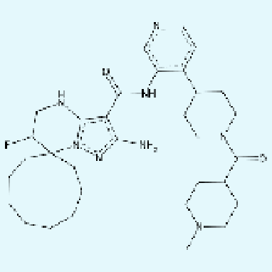 CN1CCC(C(=O)N2CCC(c3ccncc3NC(=O)c3c(N)nn4c3NCC(F)C43CCCCCCCC3)CC2)CC1